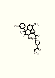 C=CC(=O)N1CCC(NC(=O)c2sc3c(N)ccc4c3c2C(N)C(=O)C4(N)c2cccc(C(C)C)c2)C1